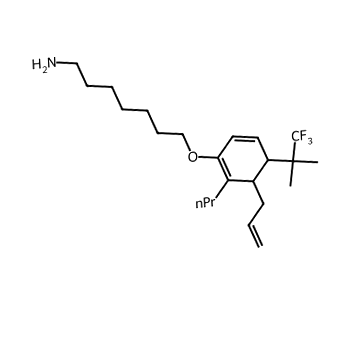 C=CCC1C(CCC)=C(OCCCCCCCN)C=CC1C(C)(C)C(F)(F)F